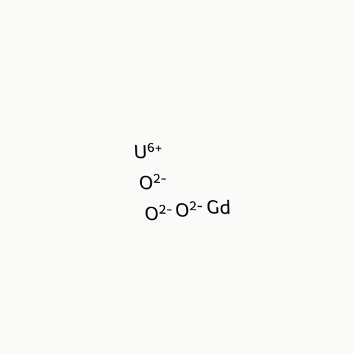 [Gd].[O-2].[O-2].[O-2].[U+6]